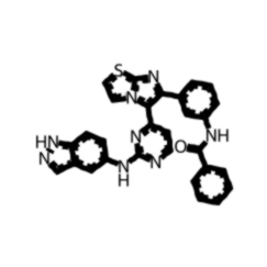 O=C(Nc1cccc(-c2nc3sccn3c2-c2ccnc(Nc3ccc4[nH]ncc4c3)n2)c1)c1ccccc1